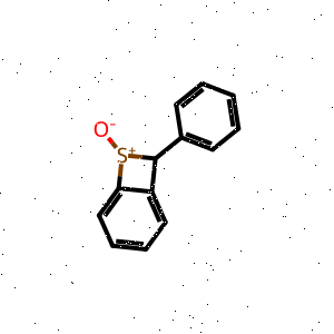 [O-][S+]1c2ccccc2C1c1ccccc1